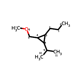 CCCC1C(COC)C1C(C)C